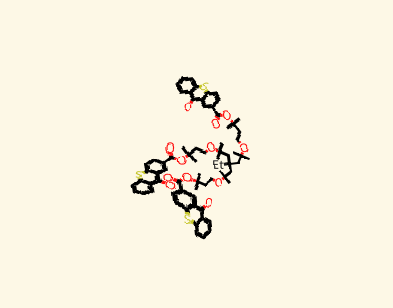 CCC(CC(C)(C)OCCC(C)(C)OC(=O)c1ccc2sc3ccccc3c(=O)c2c1)(CC(C)(C)OCCC(C)(C)OC(=O)c1ccc2sc3ccccc3c(=O)c2c1)CC(C)(C)OCCC(C)(C)OC(=O)c1ccc2sc3ccccc3c(=O)c2c1